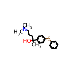 CN(C)CCCC(C)(O)c1ccc(Sc2ccccc2)cc1